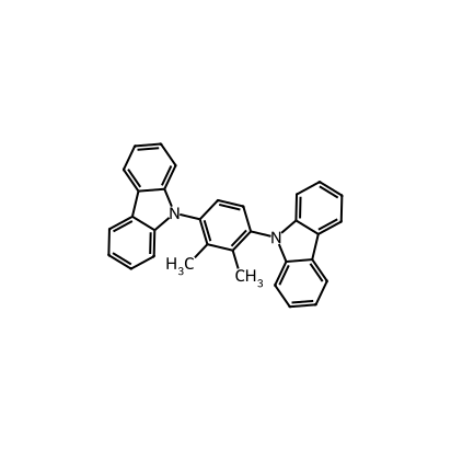 Cc1c(-n2c3ccccc3c3ccccc32)ccc(-n2c3ccccc3c3ccccc32)c1C